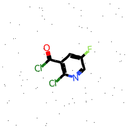 O=C(Cl)c1cc(F)cnc1Cl